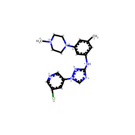 Cc1cc(Nc2ncn(-c3cncc(Cl)c3)n2)cc(N2CCN(C)CC2)c1